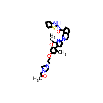 CC(=O)CN1CCN(CCCOc2ccc(-c3ccc(N4CCc5cccc(C(=O)Nc6nc7ccccc7s6)c5C4)nc3C(C)=O)c(C)c2)CC1